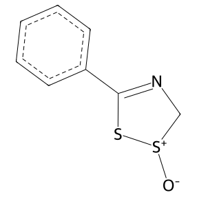 [O-][S+]1CN=C(c2ccccc2)S1